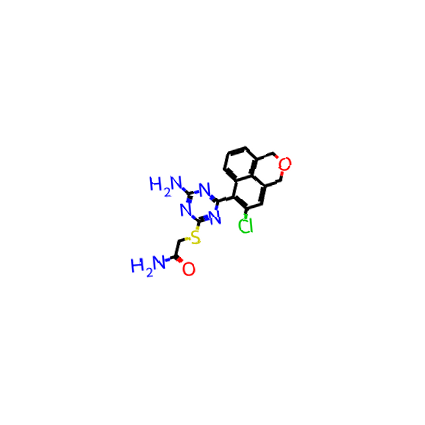 NC(=O)CSc1nc(N)nc(-c2c(Cl)cc3c4c(cccc24)COC3)n1